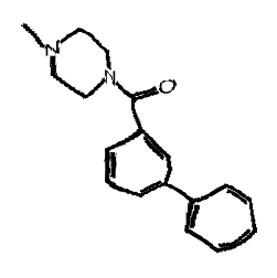 CN1CCN(C(=O)c2cccc(-c3ccccc3)c2)CC1